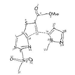 COC(=O)c1sc2cnc(S(C)(=O)=O)nc2c1-c1ccnn1C